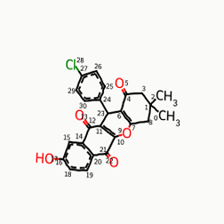 CC1(C)CC(=O)C2=C(C1)OC1=C(C(=O)c3cc(O)ccc3C1=O)C2c1ccc(Cl)cc1